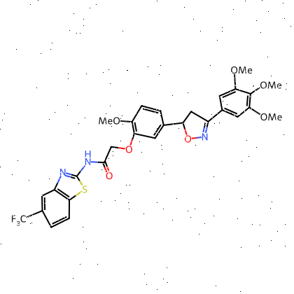 COc1ccc(C2CC(c3cc(OC)c(OC)c(OC)c3)=NO2)cc1OCC(=O)Nc1nc2cc(C(F)(F)F)ccc2s1